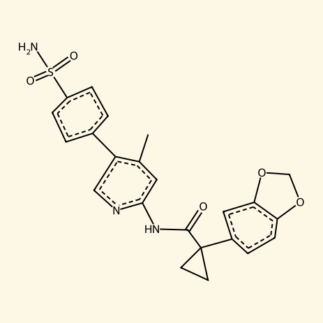 Cc1cc(NC(=O)C2(c3ccc4c(c3)OCO4)CC2)ncc1-c1ccc(S(N)(=O)=O)cc1